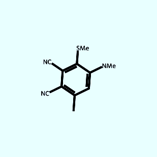 CNc1cc(C)c(C#N)c(C#N)c1SC